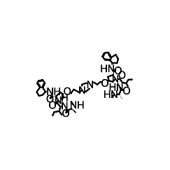 CCC(C)[C@H](NC(=O)[C@H](C)NC)C(=O)N1C[C@@H](OCCCN2CCN(CCCO[C@H]3C[C@@H](C(=O)N[C@@H]4CCCc5ccccc54)N(C(=O)[C@@H](NC(=O)[C@H](C)NC)C(C)CC)C3)CC2)C[C@H]1C(=O)N[C@@H]1CCCc2ccccc21